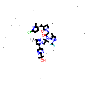 Cc1nc(Cl)ccc1[C@H]1C[C@@]12CCN([C@H](Cc1cnn(C(F)F)c1)C(=O)NC(C)(C)Cn1nc(C(F)(F)F)cc1-c1cnc(C(C)(C)O)nc1)C2=O